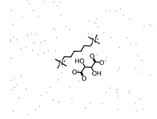 C[N+](C)(C)CCCCCC[N+](C)(C)C.O=C([O-])C(O)C(O)C(=O)[O-]